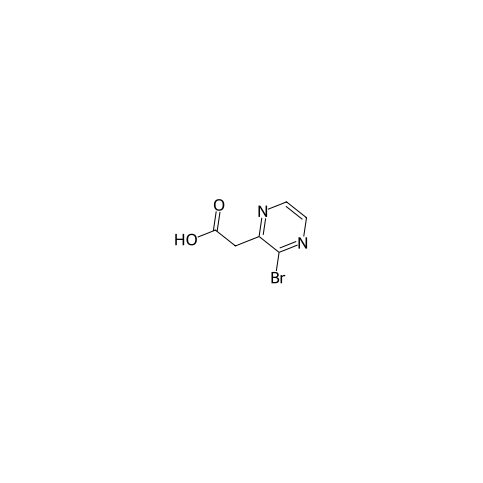 O=C(O)Cc1nccnc1Br